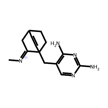 C/N=C1\CC2C=CC1(Cc1cnc(N)nc1N)CC2